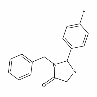 O=C1CSC(c2ccc(F)cc2)N1Cc1ccccc1